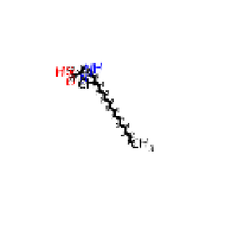 CCCCCCCCCCCCCCCCCc1[nH]cc(C(=O)O)[n+]1C